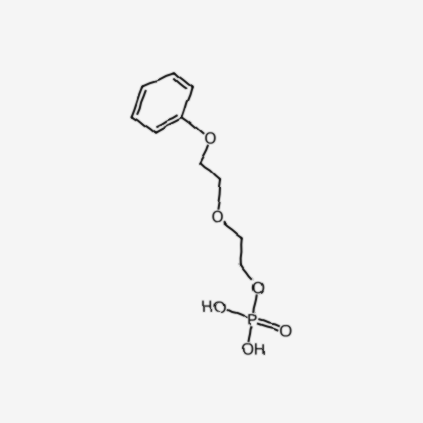 O=P(O)(O)OCCOCCOc1ccccc1